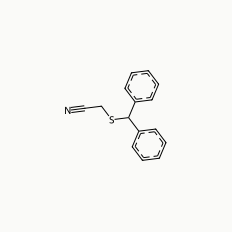 N#CCSC(c1ccccc1)c1ccccc1